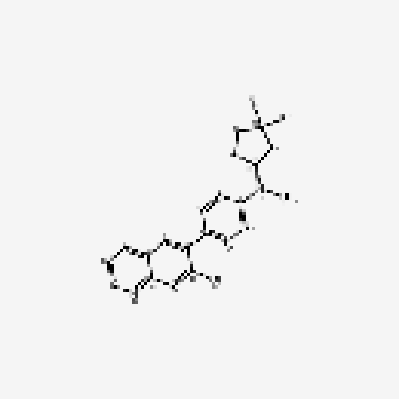 CN(c1ccc(-c2cc3cccnc3cc2O)nn1)[C@H]1CCC(F)(F)C1